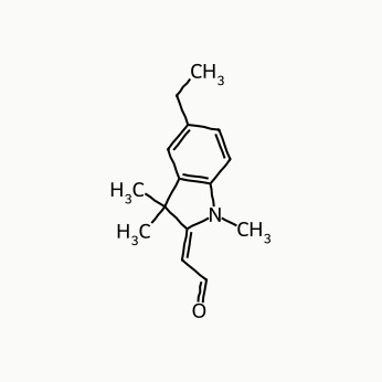 CCc1ccc2c(c1)C(C)(C)/C(=C/C=O)N2C